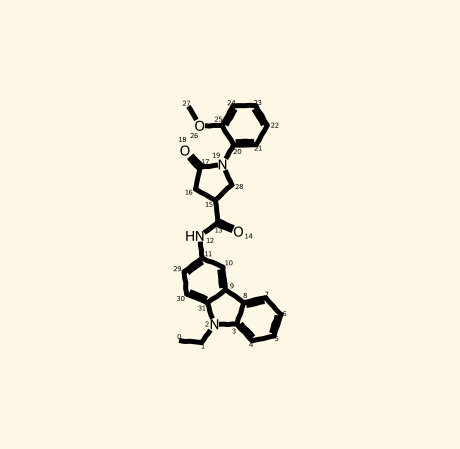 CCn1c2ccccc2c2cc(NC(=O)C3CC(=O)N(c4ccccc4OC)C3)ccc21